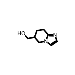 OCC1CCc2nccn2C1